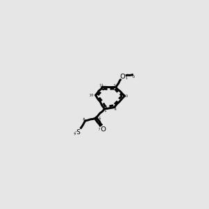 COc1ccc(C(=O)C[S])cc1